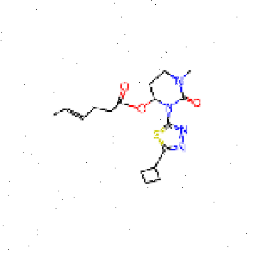 C/C=C/CCC(=O)OC1CCN(C)C(=O)N1c1nnc(C2CCC2)s1